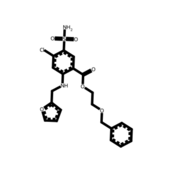 NS(=O)(=O)c1cc(C(=O)OCCOCc2ccccc2)c(NCc2ccco2)cc1Cl